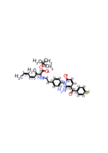 C=C(/C=C\C=C/C)[C@H](NCCc1ccc(-n2c(N)c(C(=O)c3ccc(F)cc3)ccc2=O)cc1)C(=O)OC(C)(C)C